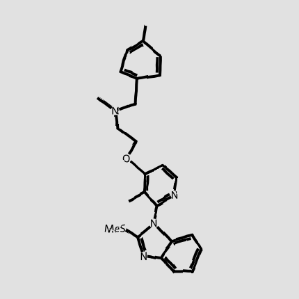 CSc1nc2ccccc2n1-c1nccc(OCCN(C)Cc2ccc(C)cc2)c1C